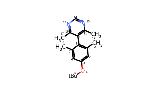 Cc1cc(OC(C)(C)C)cc(C)c1-c1c(C)ncnc1C